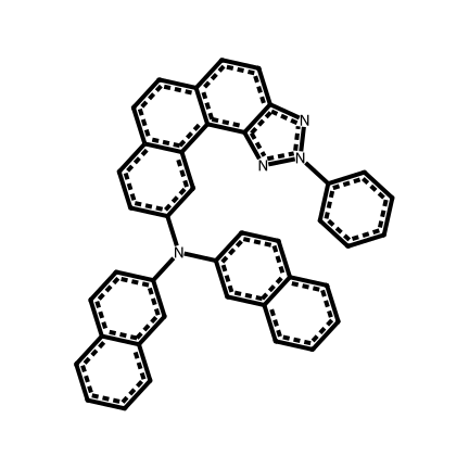 c1ccc(-n2nc3ccc4ccc5ccc(N(c6ccc7ccccc7c6)c6ccc7ccccc7c6)cc5c4c3n2)cc1